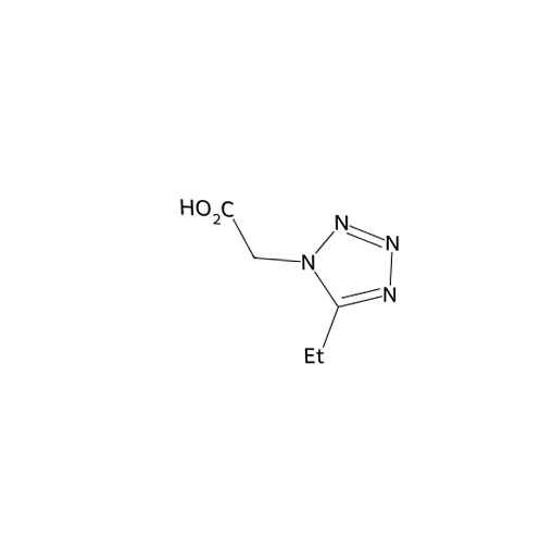 CCc1nnnn1CC(=O)O